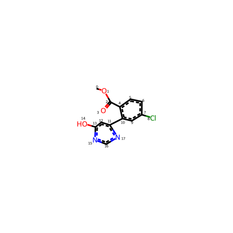 COC(=O)c1ccc(Cl)cc1-c1cc(O)ncn1